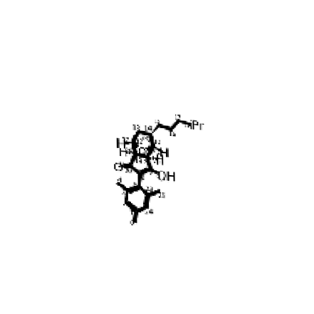 Cc1cc(C)c(C2=C(O)[C@@H]3[C@@H]4O[C@@H](C[C@H]4CCCC(C)C)[C@@H]3C2=O)c(C)c1